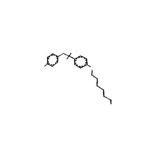 CCCCCCCOc1ccc(C(C)(C)Cc2ccc(O)cc2)cc1